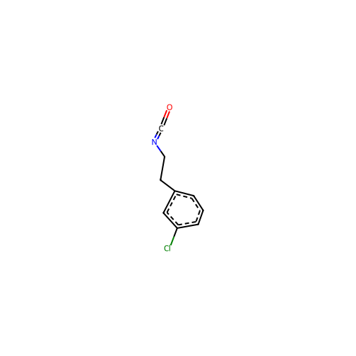 O=C=NCCc1cccc(Cl)c1